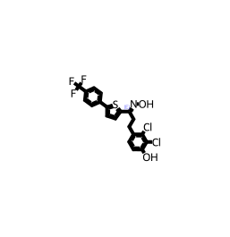 O/N=C(\CCc1ccc(O)c(Cl)c1Cl)c1ccc(-c2ccc(C(F)(F)F)cc2)s1